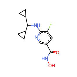 O=C(NO)c1cnc(NC(C2CC2)C2CC2)c(F)c1